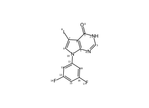 O=c1[nH]cnc2c1c(I)cn2-c1cc(F)cc(F)c1